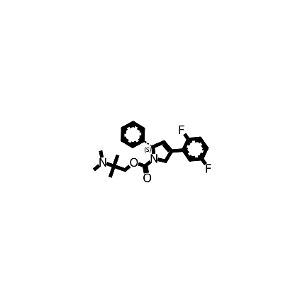 CN(C)C(C)(C)COC(=O)N1CC(c2cc(F)ccc2F)=C[C@H]1c1ccccc1